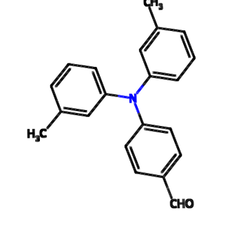 Cc1cccc(N(c2ccc(C=O)cc2)c2cccc(C)c2)c1